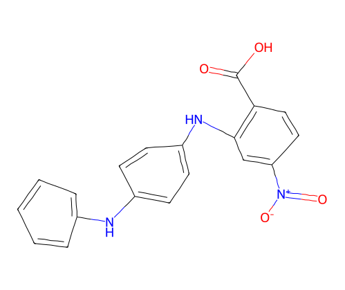 O=C(O)c1ccc([N+](=O)[O-])cc1Nc1ccc(Nc2ccccc2)cc1